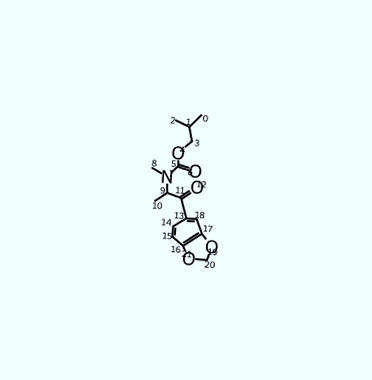 CC(C)COC(=O)N(C)C(C)C(=O)c1ccc2c(c1)OCO2